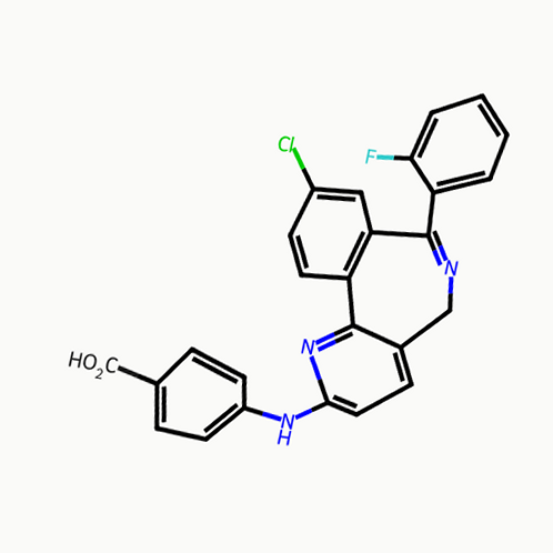 O=C(O)c1ccc(Nc2ccc3c(n2)-c2ccc(Cl)cc2C(c2ccccc2F)=NC3)cc1